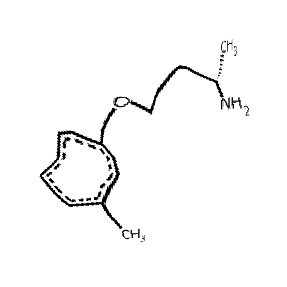 Cc1cccc(OCC[C@H](C)N)c1